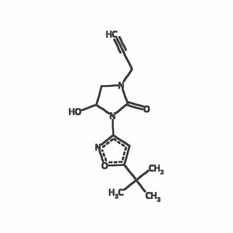 C#CCN1CC(O)N(c2cc(C(C)(C)C)on2)C1=O